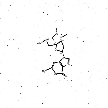 COC[C@@]1(CNO)O[C@@H](n2cnc3c(=O)[nH]c(N)nc32)C[C@H]1OC